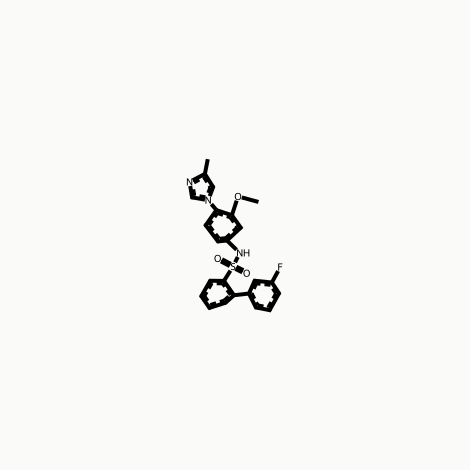 COc1cc(NS(=O)(=O)c2ccccc2-c2cccc(F)c2)ccc1-n1cnc(C)c1